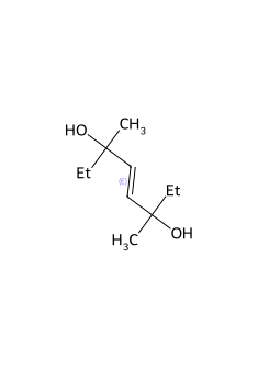 CCC(C)(O)/C=C/C(C)(O)CC